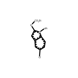 CCCn1c(OC(=O)OCC)cc2cc(Cl)ccc21